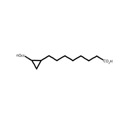 CCCCCCCCC1CC1CCCCCCCC(=O)O